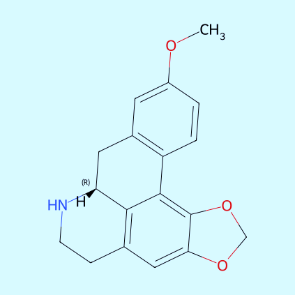 COc1ccc2c(c1)C[C@H]1NCCc3cc4c(c-2c31)OCO4